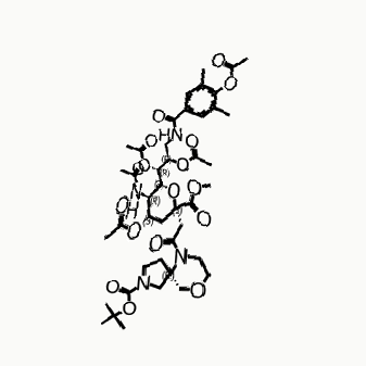 COC(=O)[C@@]1(CC(=O)N2CCOC[C@]23CCN(C(=O)OC(C)(C)C)C3)C[C@H](OC(C)=O)[C@@H](NC(C)=O)[C@H]([C@H](OC(C)=O)[C@@H](CNC(=O)c2cc(C)c(OC(C)=O)c(C)c2)OC(C)=O)O1